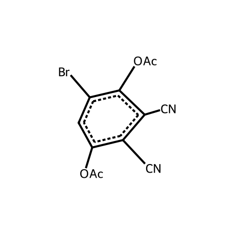 CC(=O)Oc1cc(Br)c(OC(C)=O)c(C#N)c1C#N